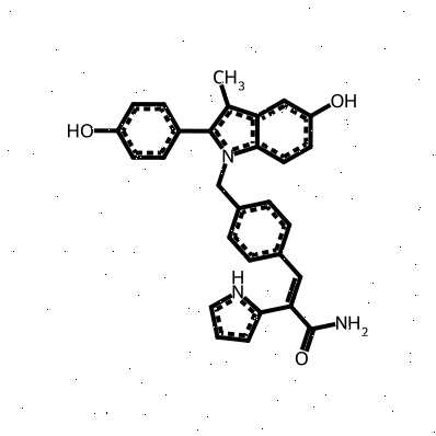 Cc1c(-c2ccc(O)cc2)n(Cc2ccc(/C=C(/C(N)=O)c3ccc[nH]3)cc2)c2ccc(O)cc12